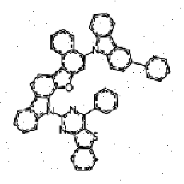 c1ccc(-c2ccc3c(c2)c2ccccc2n3-c2cc3oc4c(ccc5c6ccccc6n(-c6nc(-c7ccccc7)c7sc8ccccc8c7n6)c54)c3c3ccccc23)cc1